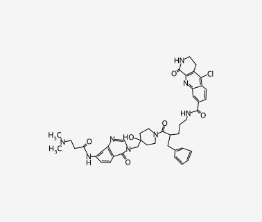 CN(C)CCC(=O)Nc1ccc2c(=O)n(CC3(O)CCN(C(=O)C(CCCNC(=O)c4ccc5c(Cl)c6c(nc5c4)C(=O)NCC6)Cc4ccccc4)CC3)cnc2c1